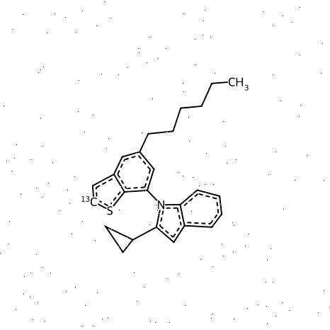 CCCCCCc1cc(-n2c(C3CC3)cc3ccccc32)c2s[13cH]cc2c1